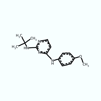 COc1ccc(Nc2ccnc(NC(C)(C)C)n2)cc1